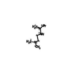 C=C(NCCN(C)C)C(C)C